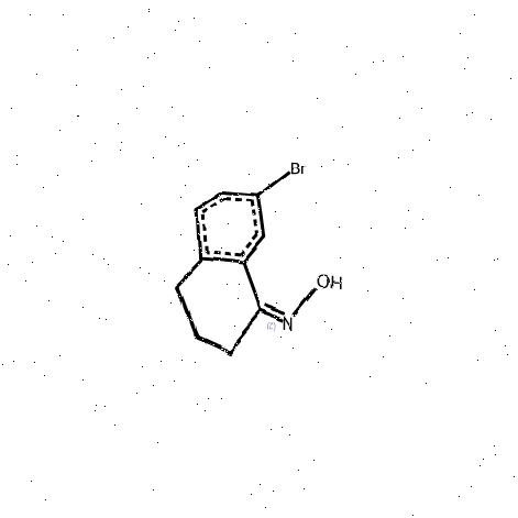 O/N=C1/CCCc2ccc(Br)cc21